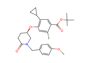 COc1ccc(CN2C[C@H](Oc3cc(F)c(C(=O)OC(C)(C)C)cc3C3CC3)CCC2=O)cc1